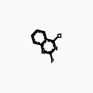 Fc1nc(Cl)c2ccccc2n1